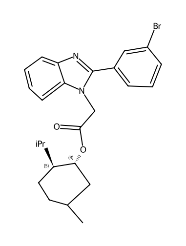 CC1CC[C@@H](C(C)C)[C@H](OC(=O)Cn2c(-c3cccc(Br)c3)nc3ccccc32)C1